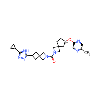 O=C(N1CC2(CC(c3nnc(C4CC4)[nH]3)C2)C1)N1CC2(CC[C@H](Oc3cnc(C(F)(F)F)cn3)C2)C1